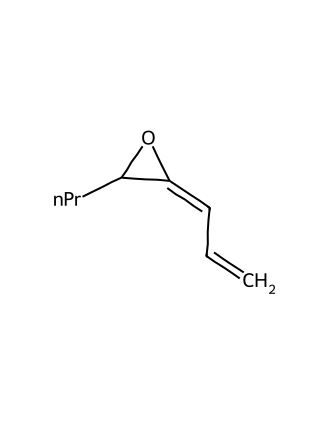 C=CC=C1OC1CCC